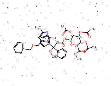 COC(=O)[C@H]1O[C@@H](OC(=O)[C@@H](Oc2nc(C)cc(COCc3ccccc3)n2)C(OC)(c2ccccc2)c2ccccc2)[C@H](OC(C)=O)[C@@H](OC(C)=O)[C@@H]1OC(C)=O